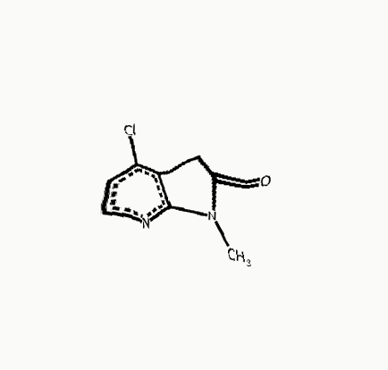 CN1C(=O)Cc2c(Cl)ccnc21